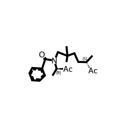 CC(=O)[C@@H](C)N(CC(C)(C)CC[C@H](C)C(C)=O)C(=O)c1ccccc1